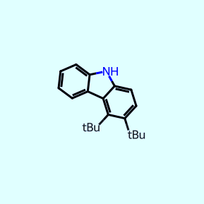 CC(C)(C)c1ccc2[nH]c3ccccc3c2c1C(C)(C)C